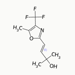 Cc1oc(/C=C/C(C)(C)O)nc1C(F)(F)F